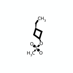 CC[C@H]1C[C@@H](OS(C)(=O)=O)C1